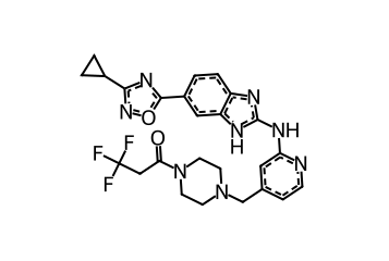 O=C(CC(F)(F)F)N1CCN(Cc2ccnc(Nc3nc4ccc(-c5nc(C6CC6)no5)cc4[nH]3)c2)CC1